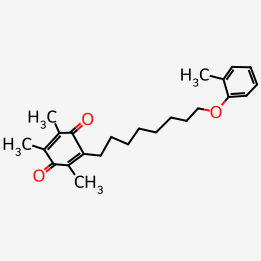 CC1=C(C)C(=O)C(CCCCCCCCOc2ccccc2C)=C(C)C1=O